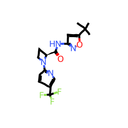 CC(C)(C)c1cc(NC(=O)[C@@H]2CCN2c2ccc(C(F)(F)F)cn2)no1